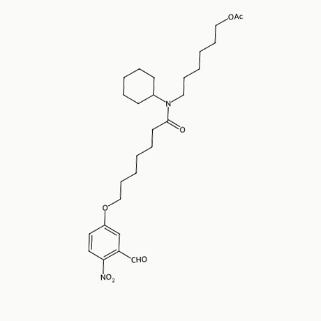 CC(=O)OCCCCCCN(C(=O)CCCCCCOc1ccc([N+](=O)[O-])c(C=O)c1)C1CCCCC1